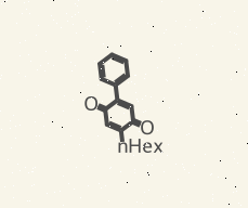 CCCCCCC1=CC(=O)C(c2ccccc2)=CC1=O